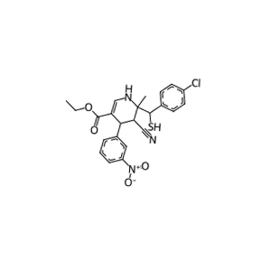 CCOC(=O)C1=CNC(C)(C(S)c2ccc(Cl)cc2)C(C#N)C1c1cccc([N+](=O)[O-])c1